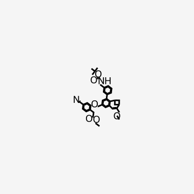 CCOC(=O)Cc1ccc(C#N)cc1OCc1cc2c(c(-c3cccc(CNC(=O)OC(C)(C)C)c3)c1)C1CC(C1)C(COC)=C2